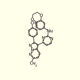 Cc1ccc(-c2nn3nc(C)ccc3c2-c2ccnc(Nc3ccc4c(c3)OCCO4)n2)cc1